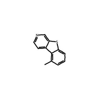 Cc1cccc2sc3cnccc3c12